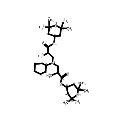 CC(CN(CC(C)C(=O)OC1CC(C)(C)NC(C)(C)C1)C1CCCCC1)C(=O)OC1CC(C)(C)NC(C)(C)C1